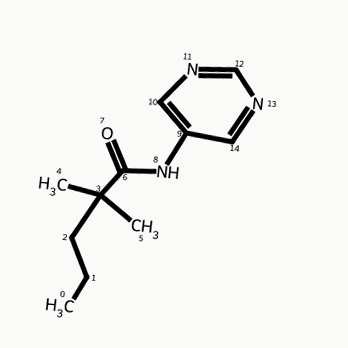 CCCC(C)(C)C(=O)Nc1cncnc1